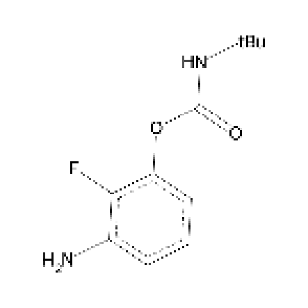 CC(C)(C)NC(=O)Oc1cccc(N)c1F